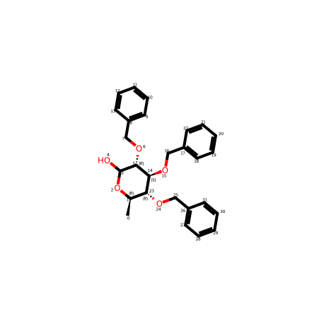 C[C@H]1OC(O)[C@H](OCc2ccccc2)[C@@H](OCc2ccccc2)[C@@H]1OCc1ccccc1